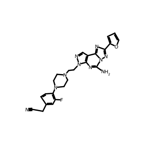 N#CCc1ccc(N2CCN(CCn3ncc4c3nc(N)n3nc(-c5ccco5)nc43)CC2)c(F)c1